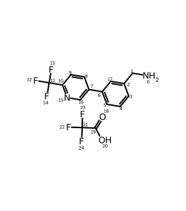 NCc1cccc(-c2ccc(C(F)(F)F)nc2)c1.O=C(O)C(F)(F)F